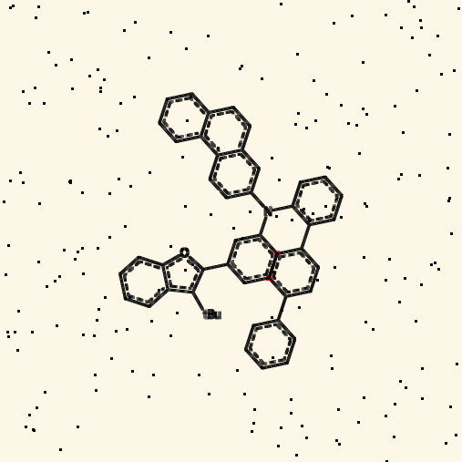 CC(C)(C)c1c(-c2cccc(N(c3ccc4c(ccc5ccccc54)c3)c3ccccc3-c3ccc(-c4ccccc4)cc3)c2)oc2ccccc12